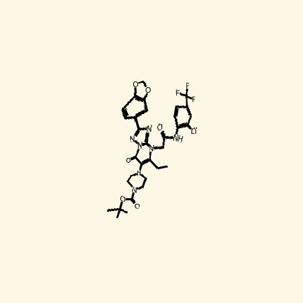 CCc1c(N2CCN(C(=O)OC(C)(C)C)CC2)c(=O)n2nc(-c3ccc4c(c3)OCO4)nc2n1CC(=O)Nc1ccc(C(F)(F)F)cc1Cl